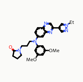 CCn1cc(-c2cnc3ccc(N(CCCN4CCCC4=O)c4cc(OC)cc(OC)c4)cc3n2)cn1